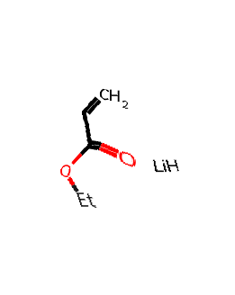 [CH2]COC(=O)C=C.[LiH]